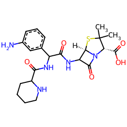 CC1(C)S[C@@H]2C(NC(=O)C(NC(=O)C3CCCCN3)c3cccc(N)c3)C(=O)N2[C@H]1C(=O)O